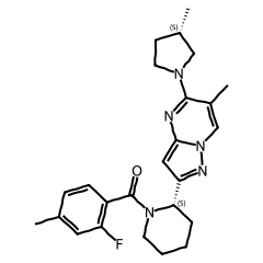 Cc1ccc(C(=O)N2CCCC[C@H]2c2cc3nc(N4CC[C@H](C)C4)c(C)cn3n2)c(F)c1